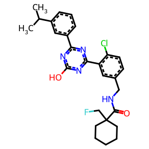 CC(C)c1cccc(-c2nc(O)nc(-c3cc(CNC(=O)C4(CF)CCCCC4)ccc3Cl)n2)c1